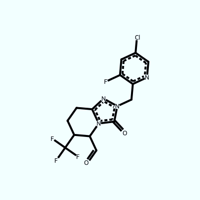 O=CC1C(C(F)(F)F)CCc2nn(Cc3ncc(Cl)cc3F)c(=O)n21